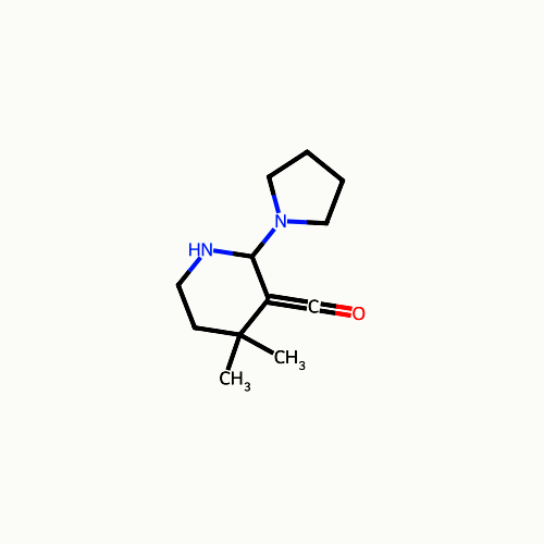 CC1(C)CCNC(N2CCCC2)C1=C=O